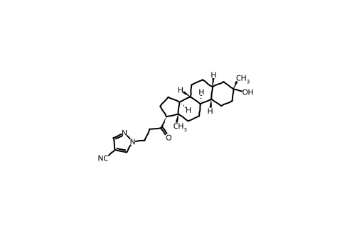 C[C@@]1(O)CC[C@H]2[C@H](CC[C@@H]3[C@@H]2CC[C@]2(C)[C@@H](C(=O)CCn4cc(C#N)cn4)CC[C@@H]32)C1